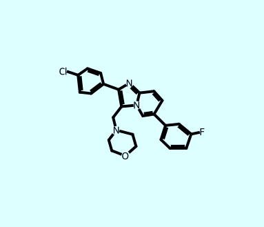 Fc1cccc(-c2ccc3nc(-c4ccc(Cl)cc4)c(CN4CCOCC4)n3c2)c1